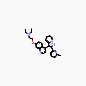 CCN(CC)CCOc1ccc2c(-c3c(-c4cccc(C)n4)nn4ccccc34)ccnc2c1